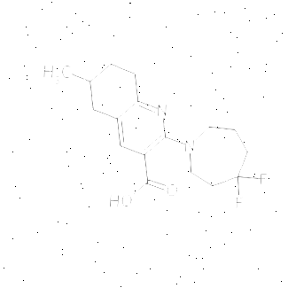 CC1CCc2nc(N3CCCC(F)(F)CC3)c(C(=O)O)cc2C1